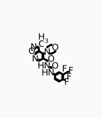 Cc1noc2ncc(C(=O)NC(=O)Nc3ccc(F)c(C(F)(F)F)c3)c(N3CCOCC3)c12